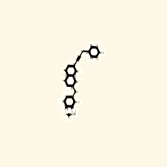 C(#Cc1ccc2ccc(Cc3ccc4scnc4c3)cc2c1)Cc1ccccc1